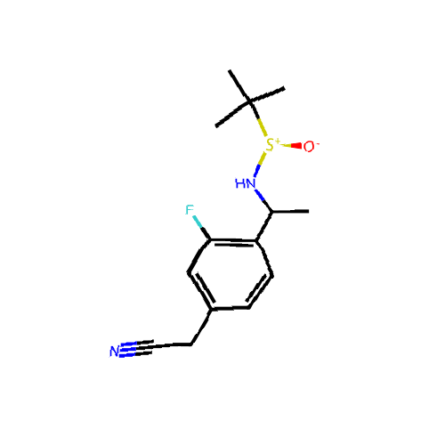 CC(N[S@+]([O-])C(C)(C)C)c1ccc(CC#N)cc1F